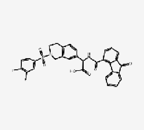 O=C(NC(C(=O)O)c1ccc2c(c1)CN(S(=O)(=O)c1ccc(F)c(F)c1)CC2)c1cccc2c1-c1ccccc1C2=O